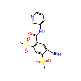 CS(=O)(=O)c1cc(S(C)(=O)=O)c(C(=O)Nc2cccnc2)cc1C#N